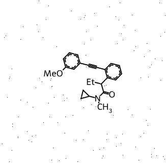 CCC(C(=O)N(C)C1CC1)c1ccccc1C#Cc1cccc(OC)c1